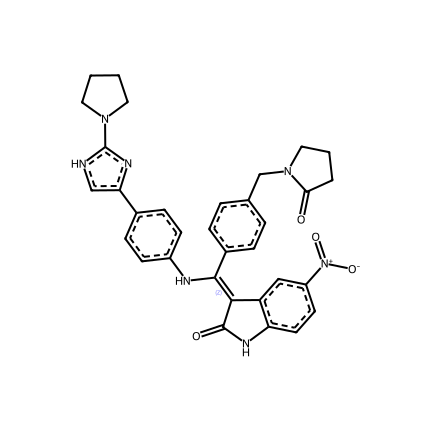 O=C1Nc2ccc([N+](=O)[O-])cc2/C1=C(/Nc1ccc(-c2c[nH]c(N3CCCC3)n2)cc1)c1ccc(CN2CCCC2=O)cc1